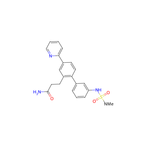 CNS(=O)(=O)Nc1cccc(-c2ccc(-c3ccccn3)cc2CCC(N)=O)c1